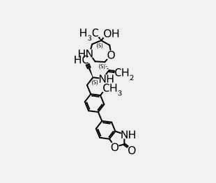 C#C[C@H](Cc1ccc(-c2ccc3oc(=O)[nH]c3c2)cc1C)NC(=C)[C@@H]1CNC[C@](C)(O)CO1